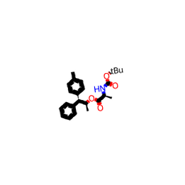 Cc1ccc([C@@H](c2ccccc2)[C@H](C)OC(=O)[C@H](C)NC(=O)OC(C)(C)C)cc1